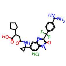 Cl.Cn1c(=O)c(C(F)(F)c2ccc(C(=N)N)cc2)nc2cc(C3(NC(=O)CC(C(=O)O)C4CCCC4)CC3)ccc21